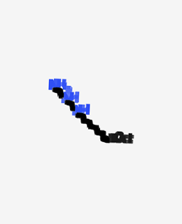 CCCCCCCC/C=C\CCCCCCCCNCCCNCCCN